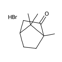 Br.CC12CCC(CC1=O)C2(C)C